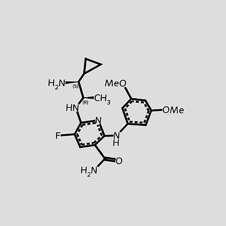 COc1cc(Nc2nc(N[C@H](C)[C@@H](N)C3CC3)c(F)cc2C(N)=O)cc(OC)c1